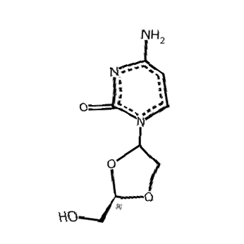 Nc1ccn(C2CO[C@@H](CO)O2)c(=O)n1